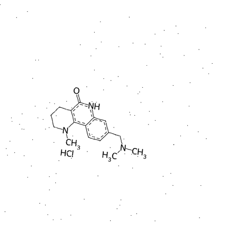 CN(C)Cc1ccc2c3c(c(=O)[nH]c2c1)CCCN3C.Cl